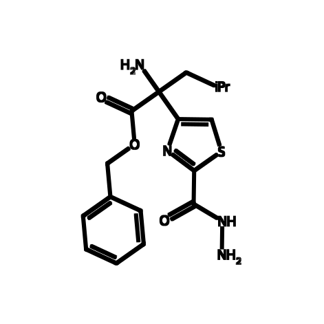 CC(C)CC(N)(C(=O)OCc1ccccc1)c1csc(C(=O)NN)n1